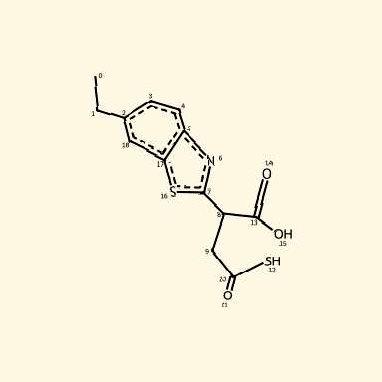 CCc1ccc2nc(C(CC(=O)S)C(=O)O)sc2c1